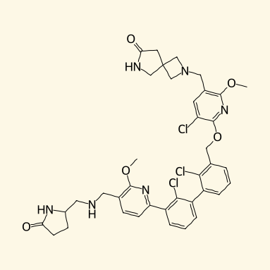 COc1nc(-c2cccc(-c3cccc(COc4nc(OC)c(CN5CC6(CNC(=O)C6)C5)cc4Cl)c3Cl)c2Cl)ccc1CNCC1CCC(=O)N1